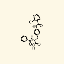 O=C(N[C@@H](Cc1ccc(NC(=O)c2cccnc2Cl)cc1)C(=O)O)c1ccccc1